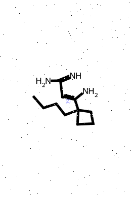 CCCCC1(/C(N)=C/C(=N)N)CCC1